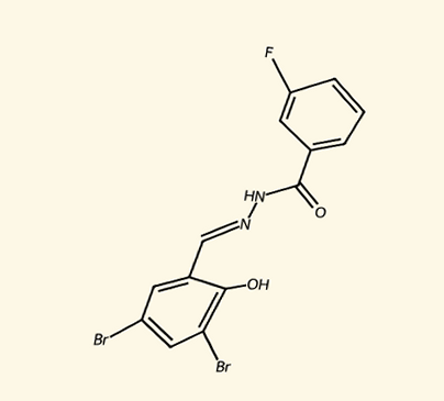 O=C(N/N=C/c1cc(Br)cc(Br)c1O)c1cccc(F)c1